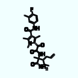 C=CCC(CC)C(C)(NC(=O)C(=O)c1c(C)c(C(=O)Nc2ccc(F)c(C)c2)c(C)n1C)C(N)=O